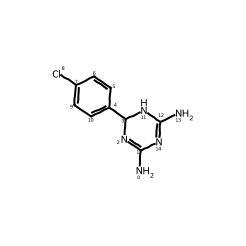 NC1=NC(c2ccc(Cl)cc2)NC(N)=N1